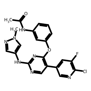 CC(=O)Nc1cccc(Oc2nc(Nc3cnn(C)c3)ncc2-c2cnc(Cl)c(F)c2)c1